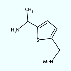 CNCc1ccc(C(C)N)s1